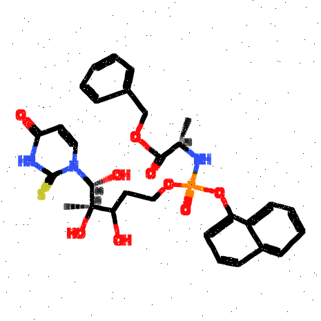 C[C@H](NP(=O)(OCCC(O)[C@@](C)(O)[C@@H](O)n1ccc(=O)[nH]c1=S)Oc1cccc2ccccc12)C(=O)OCc1ccccc1